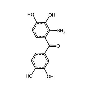 Bc1c(C(=O)c2ccc(O)c(O)c2)ccc(O)c1O